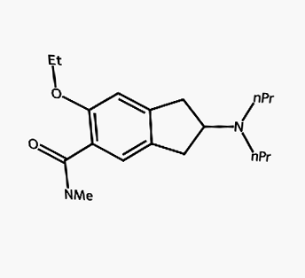 CCCN(CCC)C1Cc2cc(OCC)c(C(=O)NC)cc2C1